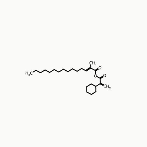 C=C(C(=O)OC(=O)C(C)=CCCCCCCCCCCCC)C1CCCCC1